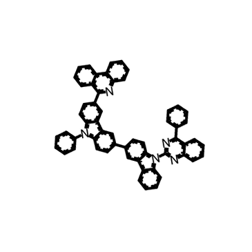 c1ccc(-c2nc(-n3c4ccccc4c4cc(-c5ccc6c(c5)c5cc(-c7nc8ccccc8c8ccccc78)ccc5n6-c5ccccc5)ccc43)nc3ccccc23)cc1